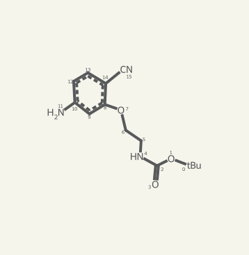 CC(C)(C)OC(=O)NCCOc1cc(N)ccc1C#N